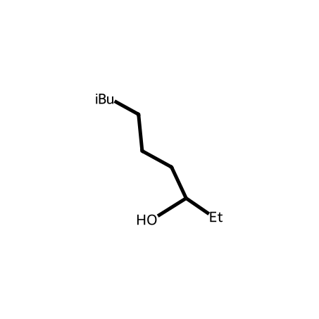 CCC(C)CCCC(O)CC